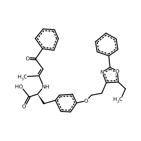 CCc1oc(-c2ccccc2)nc1CCOc1ccc(C[C@H](N/C(C)=C/C(=O)c2ccccc2)C(=O)O)cc1